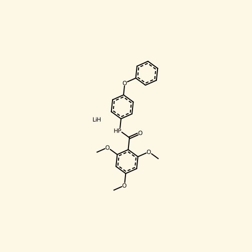 COc1cc(OC)c(C(=O)Pc2ccc(Oc3ccccc3)cc2)c(OC)c1.[LiH]